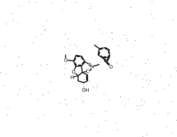 COc1ccc2c3c1O[C@H]1C[C@@H](O)C=C[C@@]31CCN(C)C2.Cc1ccc2c(=O)c2c1